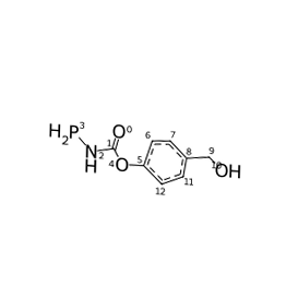 O=C(NP)Oc1ccc(CO)cc1